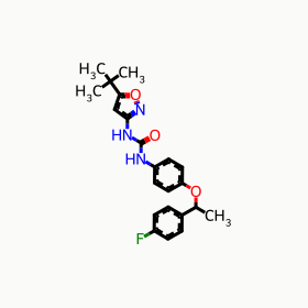 CC(Oc1ccc(NC(=O)Nc2cc(C(C)(C)C)on2)cc1)c1ccc(F)cc1